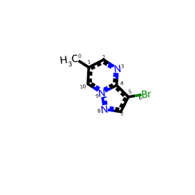 Cc1cnc2c(Br)cnn2c1